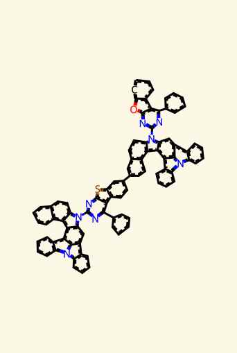 c1ccc(-c2nc(-n3c4ccc5cc(-c6ccc7c(c6)sc6nc(-n8c9ccc%10ccccc%10c9c9c%10c%11ccccc%11n%11c%12ccccc%12c(cc98)c%10%11)nc(-c8ccccc8)c67)ccc5c4c4c5c6ccccc6n6c7ccccc7c(cc43)c56)nc3oc4ccccc4c23)cc1